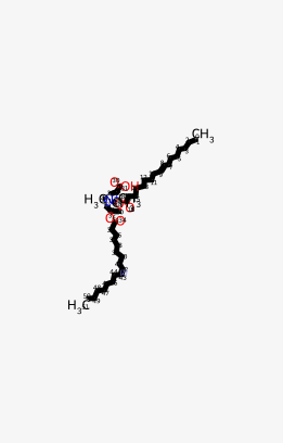 CCCCCCCCC=CCCCCCCCC(=O)OCC(C[N+](C)(C)CC(C)C(=O)O)OC(=O)CCCCCCC/C=C\CCCCCCCC